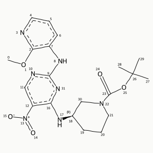 COc1ncccc1Nc1ncc([N+](=O)[O-])c(N[C@@H]2CCCN(C(=O)OC(C)(C)C)C2)n1